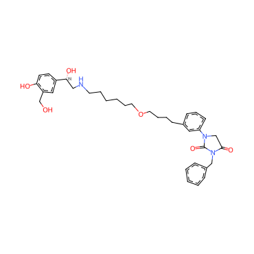 O=C1CN(c2cccc(CCCCOCCCCCCNC[C@@H](O)c3ccc(O)c(CO)c3)c2)C(=O)N1Cc1ccccc1